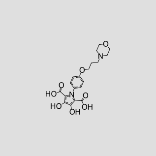 O=C(O)c1c(O)c(O)c(C(=O)O)n1-c1ccc(OCCCN2CCOCC2)cc1